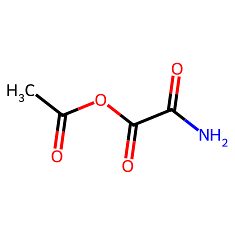 CC(=O)OC(=O)C(N)=O